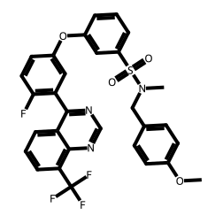 COc1ccc(CN(C)S(=O)(=O)c2cccc(Oc3ccc(F)c(-c4ncnc5c(C(F)(F)F)cccc45)c3)c2)cc1